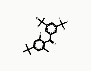 Cc1cc(C(C)(C)C)cc(F)c1C(=O)c1cc(C(F)(F)F)cc(C(F)(F)F)c1